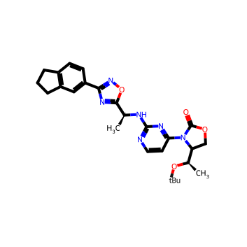 C[C@H](Nc1nccc(N2C(=O)OCC2[C@@H](C)OC(C)(C)C)n1)c1nc(-c2ccc3c(c2)CCC3)no1